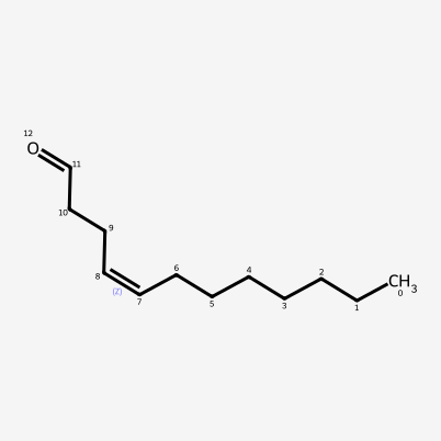 CCCCCCC/C=C\CCC=O